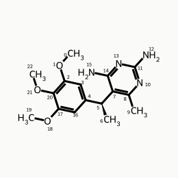 COc1cc([C@H](C)c2c(C)nc(N)nc2N)cc(OC)c1OC